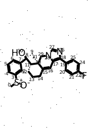 C[S+]([O-])c1cccc([C@@](C)(O)[C@H]2CCCC3=Cc4c(-c5ccc(F)cc5)ncn4C[C@@]32C)c1